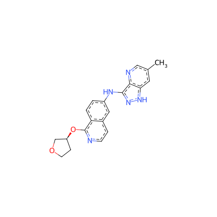 Cc1cnc2c(Nc3ccc4c(O[C@H]5CCOC5)nccc4c3)n[nH]c2c1